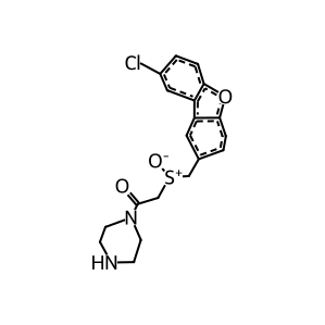 O=C(C[S+]([O-])Cc1ccc2oc3ccc(Cl)cc3c2c1)N1CCNCC1